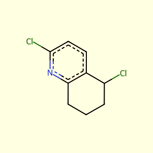 Clc1ccc2c(n1)CCCC2Cl